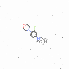 CC(C)CN(C(=O)O)c1ccc(N2CCOCC2)c(F)c1